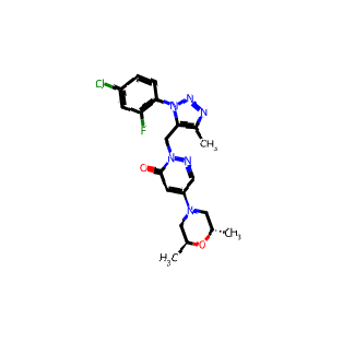 Cc1nnn(-c2ccc(Cl)cc2F)c1Cn1ncc(N2C[C@H](C)O[C@@H](C)C2)cc1=O